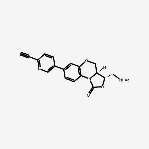 C#Cc1ccc(-c2ccc3c(c2)OC[C@H]2[C@H](CNC(C)=O)OC(=O)N32)cn1